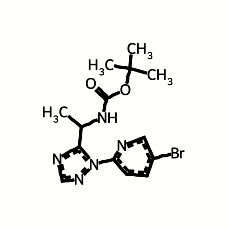 CC(NC(=O)OC(C)(C)C)c1ncnn1-c1ccc(Br)cn1